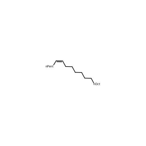 CCCCC/C=C\CCCCCCCCCCCCCC